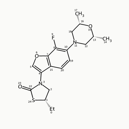 CC[C@H]1CN(c2coc3c(F)c(N4C[C@@H](C)O[C@@H](C)C4)ccc23)C(=O)S1